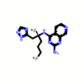 CCCC[C@](C)(Cc1ncn[nH]1)Nc1nc(N)nc2cnccc12